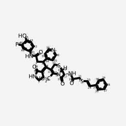 O=C(CC(C(=C1CCNC1=O)C1=C(C(=O)O)N2C(=O)[C@@H](NC(=O)CSC=Cc3ccccc3)[C@H]2SC1)c1ccncc1)Nc1ccc(O)c(F)c1